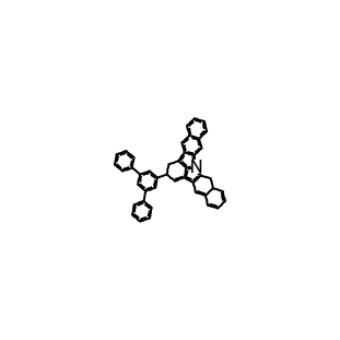 C1=CC2=Cc3c(n4c5c(c6cc7ccccc7cc64)CC(c4cc(-c6ccccc6)cc(-c6ccccc6)c4)C=c35)CC2C=C1